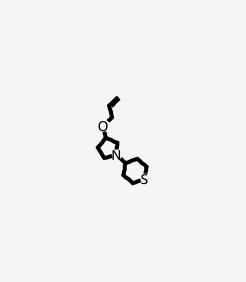 C=CCOC1CCN(C2CCSCC2)C1